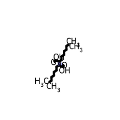 CC(C)CCCCCC/C(C(=O)O)=C(/CCCCCCC(C)C)C(=O)O